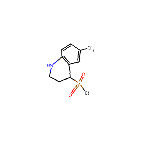 CCS(=O)(=O)C1CCNc2ccc(C(F)(F)F)cc21